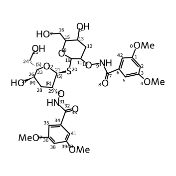 COc1cc(OC)cc(C(=O)NOC2CC(O)C(CO)OC2S[C@@H]2O[C@@H](CO)[C@H](O)C[C@H]2ONC(=O)c2cc(OC)cc(OC)c2)c1